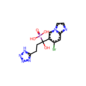 O=P(O)(O)C(O)(CCc1nnn[nH]1)c1cn2ccnc2cc1Br